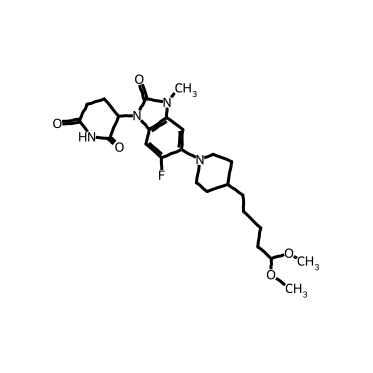 COC(CCCCC1CCN(c2cc3c(cc2F)n(C2CCC(=O)NC2=O)c(=O)n3C)CC1)OC